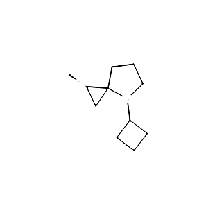 C[C@@H]1CC12CCCN2C1CCC1